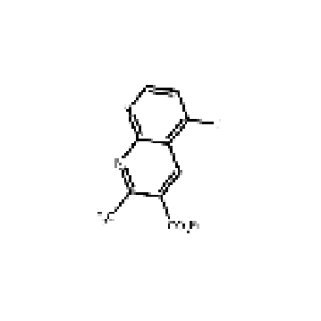 CCOC(=O)c1cc2c(Cl)ccnc2nc1C(F)(F)F